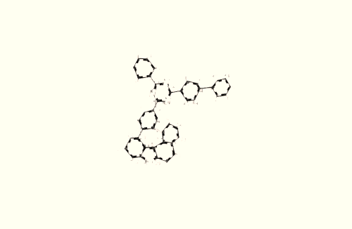 c1ccc(-c2ccc(-c3nc(-c4ccccc4)nc(-c4ccc(-c5cccc6oc7ccc8ccccc8c7c56)cc4)n3)cc2)cc1